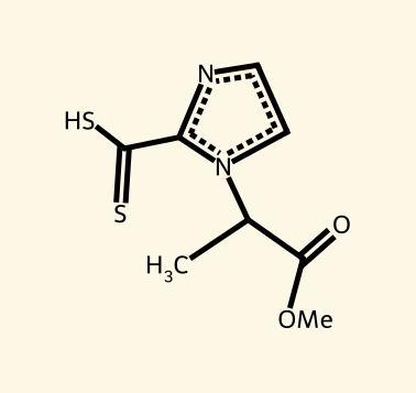 COC(=O)C(C)n1ccnc1C(=S)S